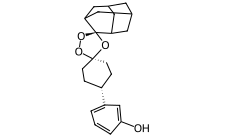 Oc1cccc([C@H]2CC[C@]3(CC2)OO[C@]2(O3)C3CC4CC(C3)CC2C4)c1